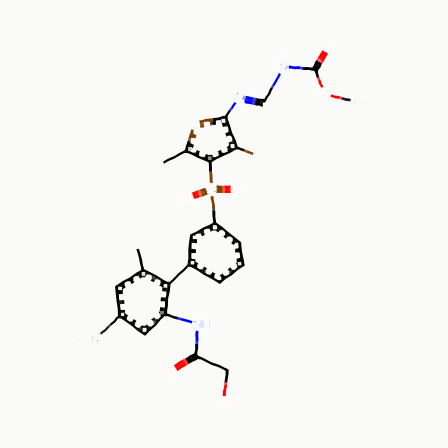 Cc1cc([N+](=O)[O-])cc(NC(=O)CO)c1-c1cccc(S(=O)(=O)c2c(C)sc(N=CNC(=O)OC(C)(C)C)c2S)c1